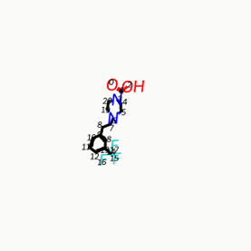 O=C(O)N1CCN(CCc2cccc(C(F)(F)F)c2)CC1